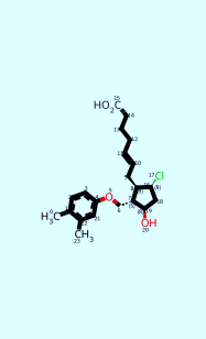 Cc1ccc(OC[C@@H]2[C@@H](CC=CCCCC(=O)O)[C@H](Cl)C[C@H]2O)cc1C